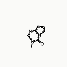 Cn1cnc2cccn2c1=O